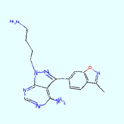 Cc1noc2cc(-c3nn(CCCCN)c4ncnc(N)c34)ccc12